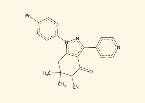 CC(C)c1ccc(-n2nc(-c3ccncc3)c3c2CC(C)(C)C(C#N)C3=O)cc1